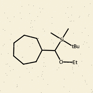 CCOC(C1[CH]CCCCC1)[Si](C)(C)C(C)(C)C